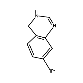 CC(C)c1ccc2c(c1)N=CNC2